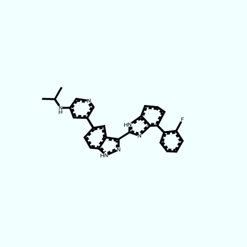 CC(C)Nc1cncc(-c2ccc3[nH]nc(-c4nc5c(-c6ccccc6F)cccc5[nH]4)c3c2)c1